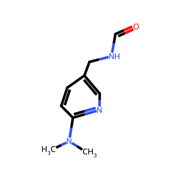 CN(C)c1ccc(CNC=O)cn1